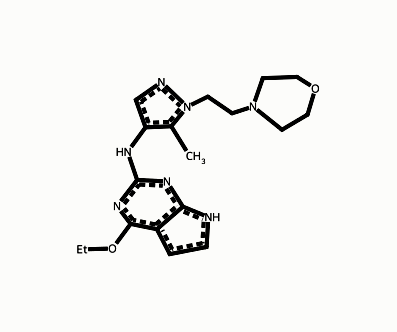 CCOc1nc(Nc2cnn(CCN3CCOCC3)c2C)nc2[nH]ccc12